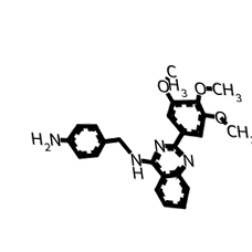 COc1cc(-c2nc(NCc3ccc(N)cc3)c3ccccc3n2)cc(OC)c1OC